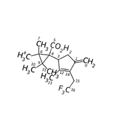 C=C1CC(C2(C(=O)O)C(C)(C)C2(C)C)C(C)=C1CC(F)(F)F